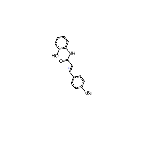 CC(C)(C)c1ccc(/C=C/C(=O)Nc2ccccc2O)cc1